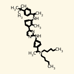 C=C(Nc1cccc(-c2ccnc(Nc3ccc(C(=C)N(CCCCC)CCCCC)cc3)n2)c1C)c1ccc(C(C)(C)C)cc1